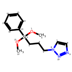 CO[Si](CCCn1ccnn1)(OC)c1ccccc1